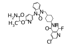 CC(Oc1ccc(-n2c(=O)n(CC3CCC(NC(=O)c4cc(Cl)cnc4C(F)F)CC3)c3ccccc32)cn1)C(N)=O